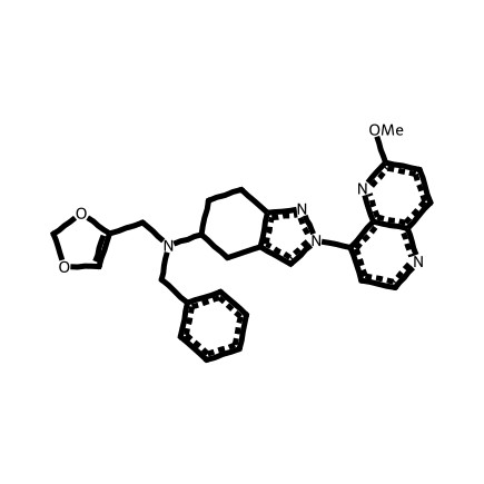 COc1ccc2nccc(-n3cc4c(n3)CCC(N(CC3=COCO3)Cc3ccccc3)C4)c2n1